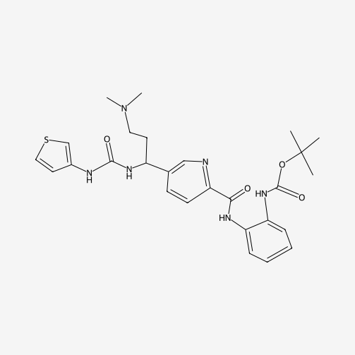 CN(C)CCC(NC(=O)Nc1ccsc1)c1ccc(C(=O)Nc2ccccc2NC(=O)OC(C)(C)C)nc1